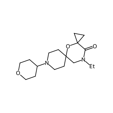 CCN1CC2(CCN(C3CCOCC3)CC2)OC2(CC2)C1=O